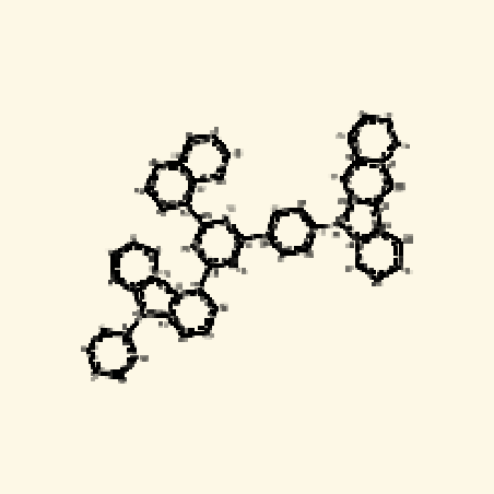 c1ccc(-n2c3ccccc3c3c(-c4nc(-c5ccc(-n6c7ccccc7c7cc8ccccc8cc76)cc5)nc(-c5cccc6ccccc56)n4)cccc32)cc1